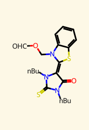 CCCCN1C(=O)/C(=C2\Sc3ccccc3N2COC=O)N(CCCC)C1=S